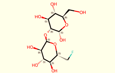 OC[C@H]1O[C@H](O)[C@H](O[C@H]2O[C@H](CF)[C@@H](O)[C@H](O)[C@H]2O)[C@@H](O)[C@@H]1O